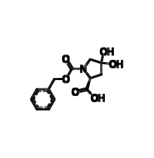 O=C(O)[C@@H]1CC(O)(O)CN1C(=O)OCc1ccccc1